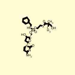 CC(C)(CO)C(=O)SCCOP(=O)(NCc1ccccc1)OC[C@@H]1O[C@H](n2ccc(N)nc2=O)CC1O